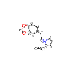 O=Cc1cccn1CCc1ccc2c(c1)OCO2